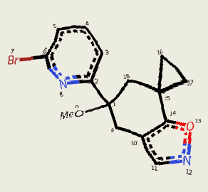 COC1(c2cccc(Br)n2)Cc2cnoc2C2(CC2)C1